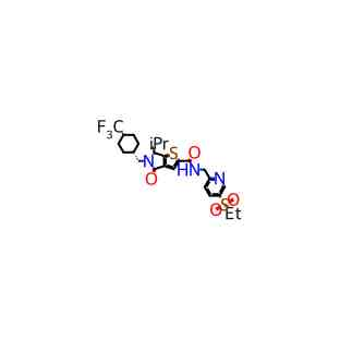 CCS(=O)(=O)c1ccc(CNC(=O)c2cc3c(s2)C(C(C)C)N(C[C@H]2CC[C@@H](C(F)(F)F)CC2)C3=O)nc1